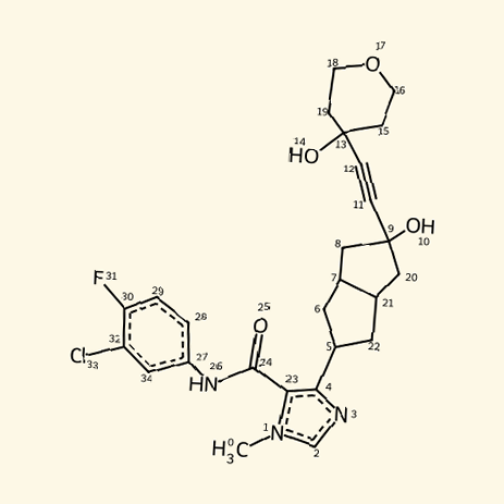 Cn1cnc(C2CC3CC(O)(C#CC4(O)CCOCC4)CC3C2)c1C(=O)Nc1ccc(F)c(Cl)c1